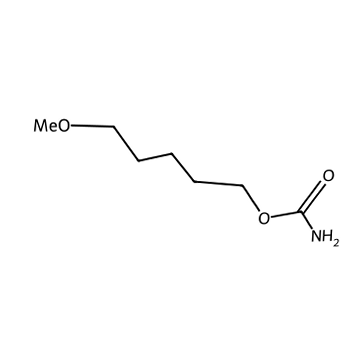 COCCCCCOC(N)=O